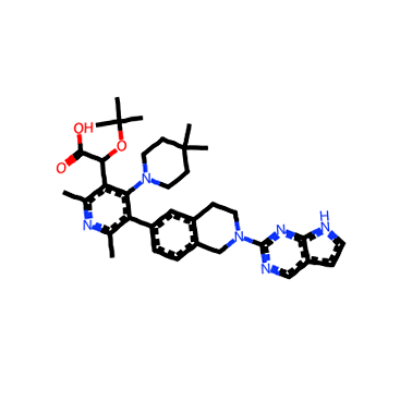 Cc1nc(C)c(C(OC(C)(C)C)C(=O)O)c(N2CCC(C)(C)CC2)c1-c1ccc2c(c1)CCN(c1ncc3cc[nH]c3n1)C2